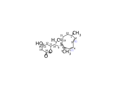 CC1/C=C/C=C\[C@H](C)[C@H](CCC2C[C@@H](O)CC(=O)O2)C(C)CC1